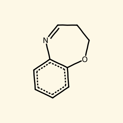 C1=Nc2ccccc2OCC1